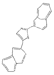 c1ccc2cc(-c3cnc(-c4ccc5ccccc5c4)s3)ccc2c1